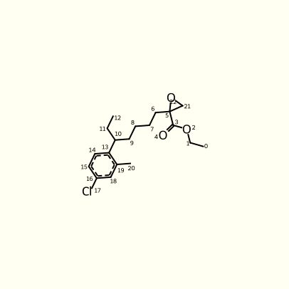 CCOC(=O)C1(CCCCC(CC)c2ccc(Cl)cc2C)CO1